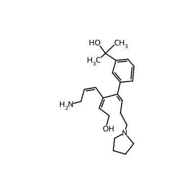 CC(C)(O)c1cccc(C(=C/CCN2CCCC2)/C(/C=C\CN)=C\CO)c1